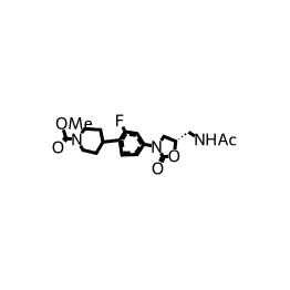 COC(=O)N1CCC(c2ccc(N3C[C@H](CNC(C)=O)OC3=O)cc2F)CC1